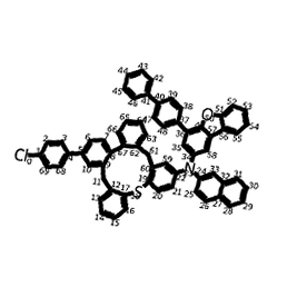 Clc1ccc(-c2ccc3c(c2)Cc2ccccc2Sc2ccc(N(c4ccc5ccccc5c4)c4cc(-c5ccc(-c6ccccc6)cc5)c5oc6ccccc6c5c4)cc2Cc2ccccc2-3)cc1